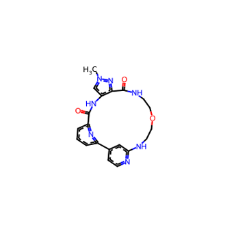 Cn1cc2c(n1)C(=O)NCCOCCNc1cc(ccn1)-c1cccc(n1)C(=O)N2